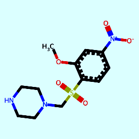 COc1cc([N+](=O)[O-])ccc1S(=O)(=O)CN1CCNCC1